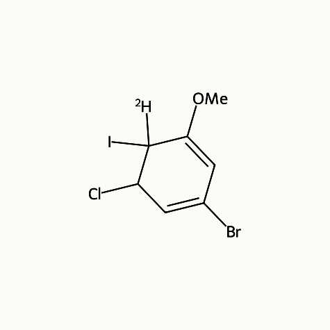 [2H]C1(I)C(OC)=CC(Br)=CC1Cl